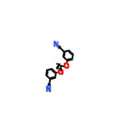 N#Cc1cccc([O][Zr][O]c2cccc(C#N)c2)c1